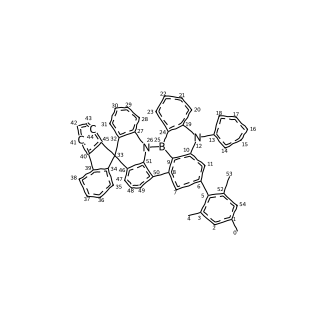 Cc1cc(C)c(-c2cc3c4c(c2)N(c2ccccc2)c2ccccc2B4N2c4ccccc4C4(c5ccccc5-c5ccccc54)c4cccc-3c42)c(C)c1